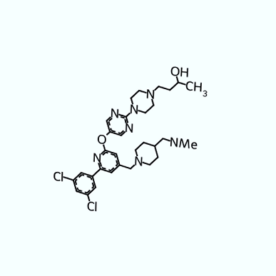 CNCC1CCN(Cc2cc(Oc3cnc(N4CCN(CCC(C)O)CC4)nc3)nc(-c3cc(Cl)cc(Cl)c3)c2)CC1